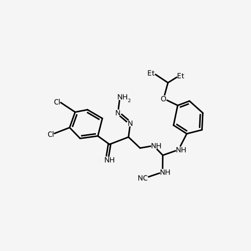 CCC(CC)Oc1cccc(NC(NC#N)NCC(N=NN)C(=N)c2ccc(Cl)c(Cl)c2)c1